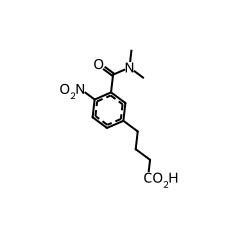 CN(C)C(=O)c1cc(CCCC(=O)O)ccc1[N+](=O)[O-]